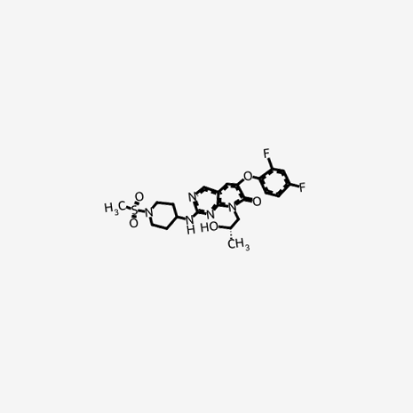 C[C@H](O)Cn1c(=O)c(Oc2ccc(F)cc2F)cc2cnc(NC3CCN(S(C)(=O)=O)CC3)nc21